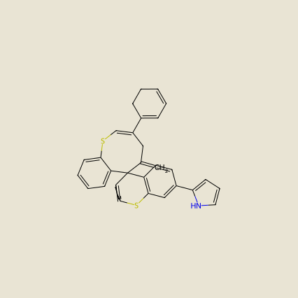 C=C1C/C(C2=CC=CCC2)=C\Sc2ccccc2C12C1=C(C=CCC1)Sc1cc(-c3ccc[nH]3)ccc12